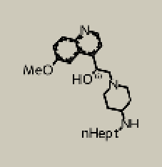 CCCCCCCNC1CCN(C[C@@H](O)c2ccnc3ccc(OC)cc23)CC1